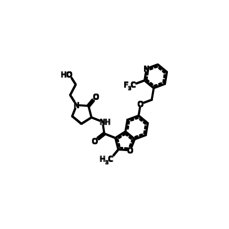 Cc1oc2ccc(OCc3cccnc3C(F)(F)F)cc2c1C(=O)NC1CCN(CCO)C1=O